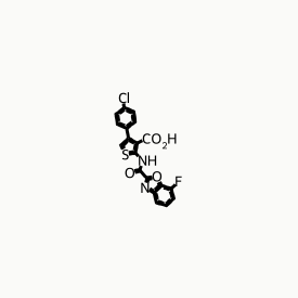 O=C(Nc1scc(-c2ccc(Cl)cc2)c1C(=O)O)c1nc2cccc(F)c2o1